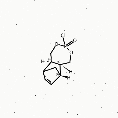 O=P1(Cl)OC[C@H]2[C@@H]3C=CC(C3)[C@H]2CO1